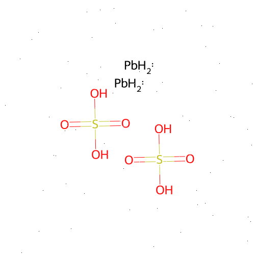 O=S(=O)(O)O.O=S(=O)(O)O.[PbH2].[PbH2]